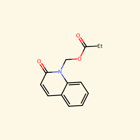 CCC(=O)OCn1c(=O)ccc2ccccc21